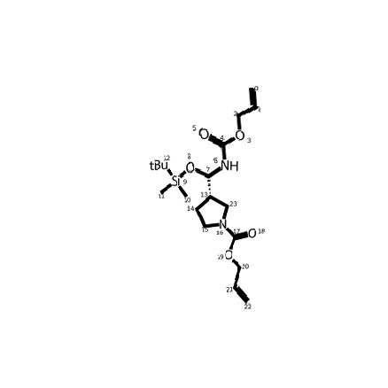 C=CCOC(=O)NC(O[Si](C)(C)C(C)(C)C)[C@H]1CCN(C(=O)OCC=C)C1